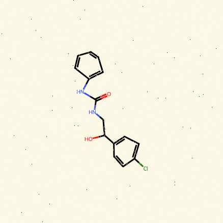 O=C(NCC(O)c1ccc(Cl)cc1)Nc1ccccc1